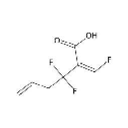 C=CCC(F)(F)C(=CF)C(=O)O